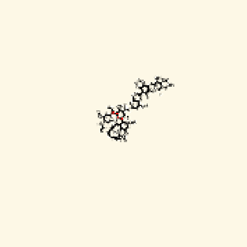 CC#C/C=C\C#CC(O[C@@H]1O[C@H](C)[C@@H](NO[C@H]2C[C@H](O)[C@H](SC(=O)c3c(C)c(I)c(O[C@@H]4O[C@@H](C)[C@H](CO)[C@@H](OC)[C@H]4O)c(OC)c3OC)C(C)O2)[C@H](O)[C@H]1O[C@H]1C[C@H](OC)[C@@H](NCC)CO1)C1=C(NC(=O)OC)C(=O)C[C@](C)(O)/C1=C/CSSSC